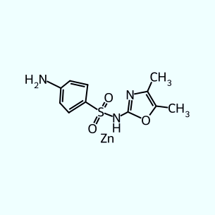 Cc1nc(NS(=O)(=O)c2ccc(N)cc2)oc1C.[Zn]